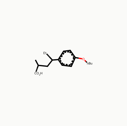 CCCCOc1ccc(C(CC)CC(C)C(=O)O)cc1